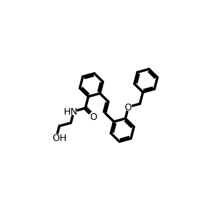 O=C(NCCO)c1ccccc1C=Cc1ccccc1OCc1ccccc1